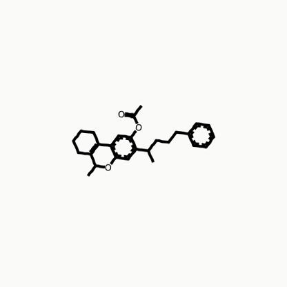 CC(=O)Oc1cc2c(cc1C(C)CCCc1ccccc1)OC(C)C1=C2CCCC1